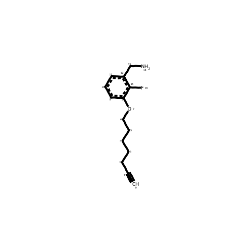 C#CCCCCCOc1cccc(CN)c1F